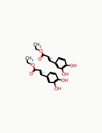 CCOC(=O)/C=C/c1ccc(O)c(O)c1.CCOC(=O)/C=C/c1ccc(O)c(O)c1